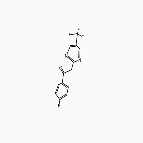 O=C(Cc1ncc(C(F)(F)F)cn1)c1ccc(F)cc1